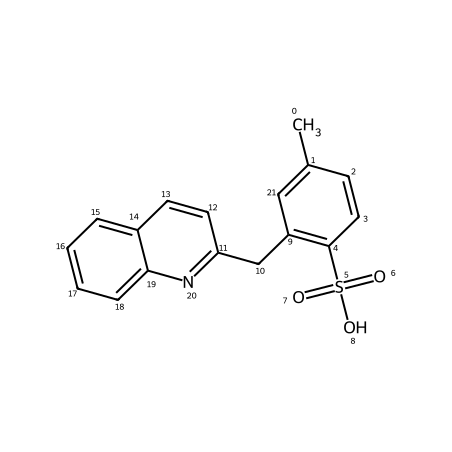 Cc1ccc(S(=O)(=O)O)c(Cc2ccc3ccccc3n2)c1